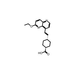 CCOc1ccc2nccc(C=C[C@H]3CC[C@H](C(=O)O)CC3)c2n1